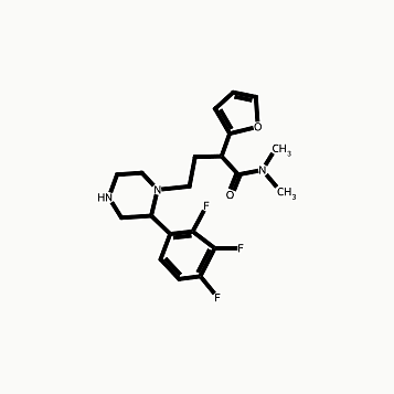 CN(C)C(=O)C(CCN1CCNCC1c1ccc(F)c(F)c1F)c1ccco1